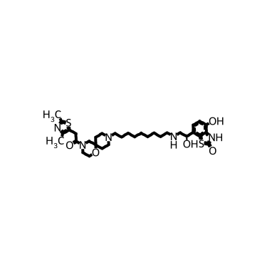 Cc1nc(C)c(CC(=O)N2CCOC3(CCN(CCCCCCCCCNC[C@H](O)c4ccc(O)c5[nH]c(=O)sc45)CC3)C2)s1